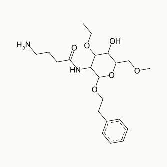 CCOC1C(O)C(COC)OC(OCCc2ccccc2)C1NC(=O)CCCN